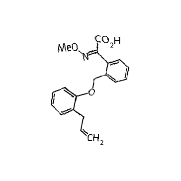 C=CCc1ccccc1OCc1ccccc1C(=NOC)C(=O)O